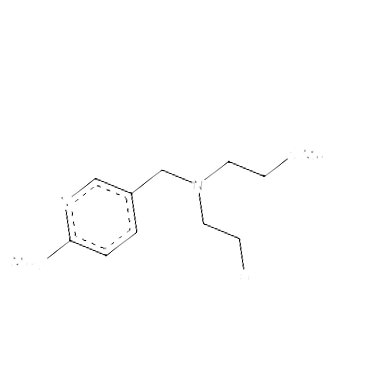 COCCN(CCO)Cc1ccc(OC)nc1